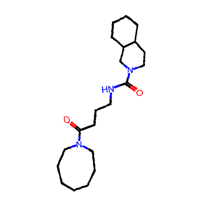 O=C(CCCNC(=O)N1CCC2CCCCC2C1)N1CCCCCCC1